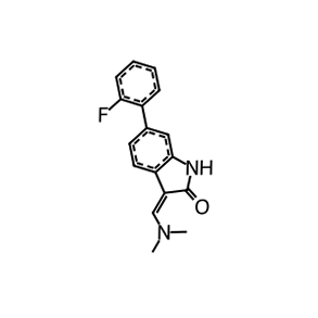 CN(C)/C=C1\C(=O)Nc2cc(-c3ccccc3F)ccc21